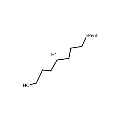 CCCCCCCCCCCCO.[H+]